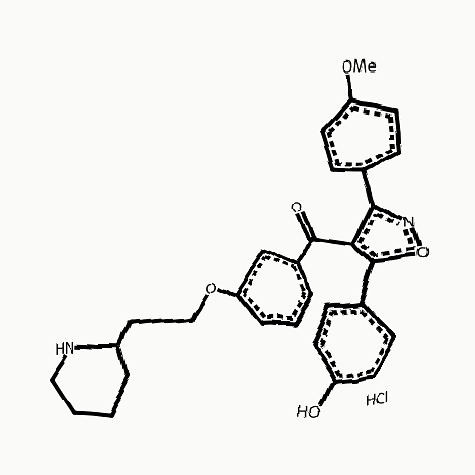 COc1ccc(-c2noc(-c3ccc(O)cc3)c2C(=O)c2cccc(OCCC3CCCCN3)c2)cc1.Cl